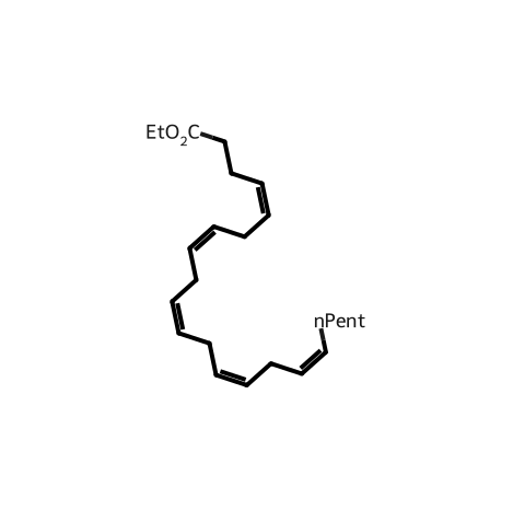 CCCCC/C=C\C/C=C\C/C=C\C/C=C\C/C=C\CCC(=O)OCC